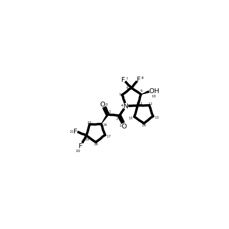 O=C(C(=O)N1CC(F)(F)[C@@H](O)C12CCCC2)[C@H]1CCC(F)(F)C1